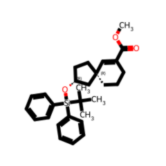 COC(=O)C1=C[C@]2(CCC1)CC[C@@H](O[Si](c1ccccc1)(c1ccccc1)C(C)(C)C)C2